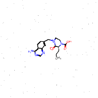 CCC[C@H]1C(=O)N(Cc2ccc3c(N)ncnc3c2)CCN1C(=O)O